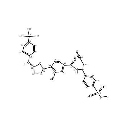 CCS(=O)(=O)c1ccc([C@@H](CC#N)NC(=O)c2cnc(N3CC[C@@H](Oc4ccc(C(F)(F)F)cc4)C3)c(F)c2)cc1